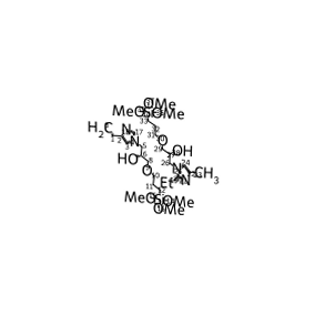 C=Cc1cn(CC(O)COCCC[Si](OC)(OC)OC)cn1.CCc1nc(C)cn1CC(O)COCCC[Si](OC)(OC)OC